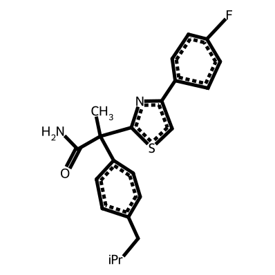 CC(C)Cc1ccc(C(C)(C(N)=O)c2nc(-c3ccc(F)cc3)cs2)cc1